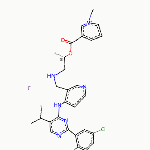 CC(C)c1cnc(-c2cc(Cl)ccc2F)nc1Nc1ccncc1CNC[C@H](C)OC(=O)c1ccc[n+](C)c1.[I-]